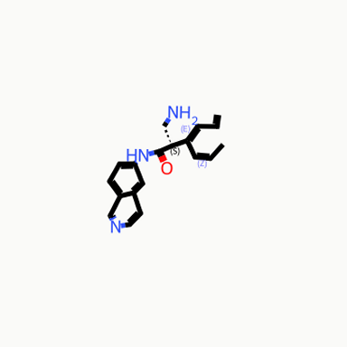 C=C/C=C(\C=C/C)[C@@H](CN)C(=O)Nc1ccc2cnccc2c1